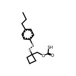 CCCc1ccc(SSC2(COC(=O)S)CCC2)cc1